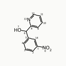 O=[N+]([O-])c1cccc(C(O)c2ccccn2)c1